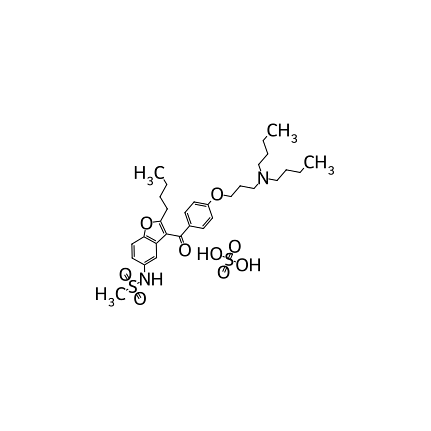 CCCCc1oc2ccc(NS(C)(=O)=O)cc2c1C(=O)c1ccc(OCCCN(CCCC)CCCC)cc1.O=S(=O)(O)O